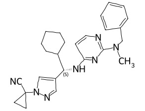 CN(Cc1ccccc1)c1nccc(N[C@H](c2cnn(C3(C#N)CC3)c2)C2CCCCC2)n1